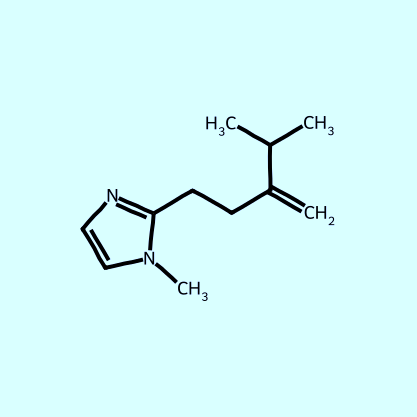 C=C(CCc1nccn1C)C(C)C